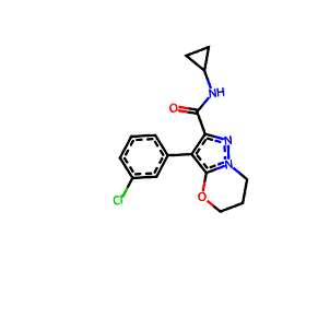 O=C(NC1CC1)c1nn2c(c1-c1cccc(Cl)c1)OCCC2